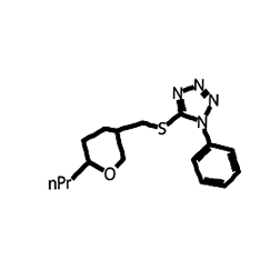 CCCC1CCC(CSc2nnnn2-c2ccccc2)CO1